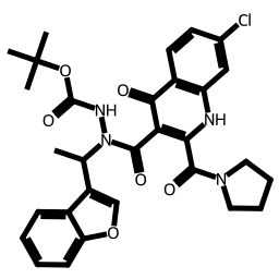 CC(c1coc2ccccc12)N(NC(=O)OC(C)(C)C)C(=O)c1c(C(=O)N2CCCC2)[nH]c2cc(Cl)ccc2c1=O